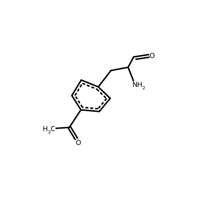 CC(=O)c1ccc(CC(N)C=O)cc1